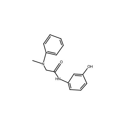 CN(CC(=O)Nc1cccc(O)c1)c1ccccc1